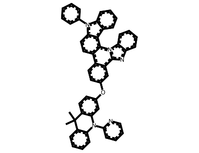 CC1(C)c2ccccc2N(c2ccccn2)c2cc(Oc3ccc4c(c3)c3nc5ccccc5n3c3c4ccc4c3c3ccccc3n4-c3ccccc3)ccc21